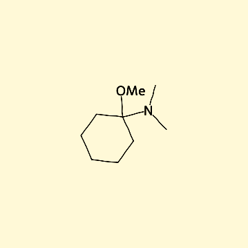 COC1(N(C)C)CCCCC1